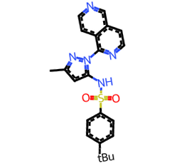 Cc1cc(NS(=O)(=O)c2ccc(C(C)(C)C)cc2)n(-c2nccc3cnccc23)n1